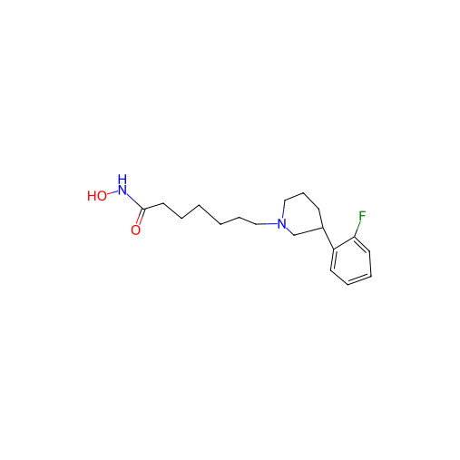 O=C(CCCCCCN1CCCC(c2ccccc2F)C1)NO